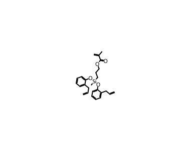 C=CCc1ccccc1O[Si](C)(CCCOC(=O)C(=C)C)Oc1ccccc1CC=C